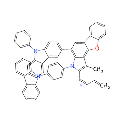 C=C/C=C\c1c(C)c2c3oc4ccccc4c3cc(-c3ccc4c(c3)c3ccccc3n4-c3ccccc3)c2n1-c1ccc(-n2c3ccccc3c3ccccc32)cc1